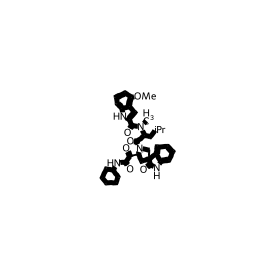 COc1cccc2[nH]c(C(=O)N(C)C(CC(C)C)C(=O)N3C[C@]4(C[C@H]3C(=O)C(=O)NC3CCCCC3)C(=O)Nc3ccccc34)cc12